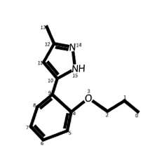 CCCOc1ccccc1-c1cc(C)n[nH]1